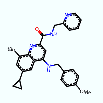 COc1ccc(CNc2cc(C(=O)NCc3ccccn3)nc3c(C(C)(C)C)cc(C4CC4)cc23)cc1